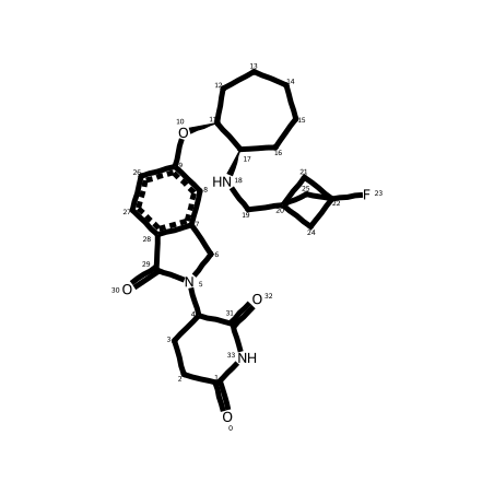 O=C1CCC(N2Cc3cc(O[C@H]4CCCCC[C@H]4NCC45CC(F)(C4)C5)ccc3C2=O)C(=O)N1